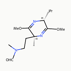 COC1=N[C@@](C)(CCN(C)C=O)C(OC)=N[C@@H]1C(C)C